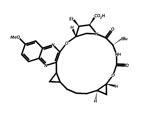 CC[C@@H]1[C@@H]2CN(C(=O)[C@H](C(C)(C)C)NC(=O)O[C@@H]3C[C@H]3CCCC3CC3c3nc4ccc(OC)cc4nc3O2)[C@@H]1C(=O)O